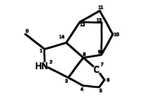 CC1NC2CCCCC23C2CCC(C2)C13